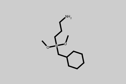 CO[Si](CCCN)(CC1CCCCC1)OC